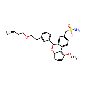 C=CCCOCCc1cccc(C2Oc3cccc(OC)c3-c3ccc(CS(N)(=O)=O)cc32)c1